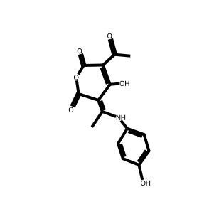 CC(=O)C1=C(O)C(=C(C)Nc2ccc(O)cc2)C(=O)OC1=O